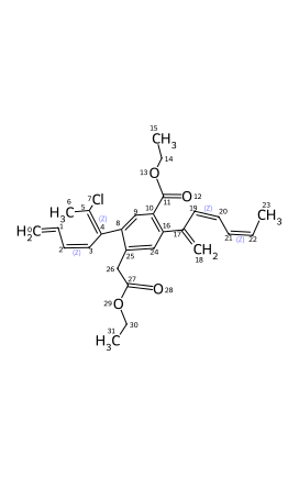 C=C/C=C\C(=C(/C)Cl)c1cc(C(=O)OCC)c(C(=C)/C=C\C=C/C)cc1CC(=O)OCC